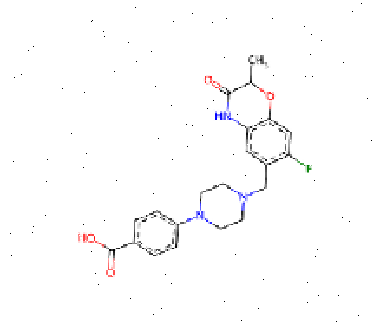 CC1Oc2cc(F)c(CN3CCN(c4ccc(C(=O)O)cc4)CC3)cc2NC1=O